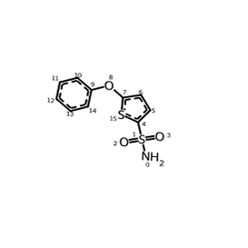 NS(=O)(=O)c1ccc(Oc2ccccc2)s1